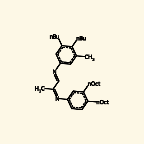 CCCCCCCCc1ccc(N=C(C)C=Nc2cc(C)c(CCCC)c(CCCC)c2)cc1CCCCCCCC